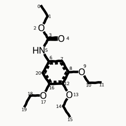 CCOC(=O)Nc1cc(OCC)c(OCC)c(OCC)c1